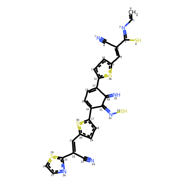 C=C/N=C(S)/C(C#N)=C/c1ccc(C2=CC=C(c3ccc(/C=C(\C#N)c4nccs4)s3)/C(=N/S)C2=N)s1